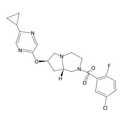 O=S(=O)(c1cc(Cl)ccc1F)N1CCN2C[C@H](Oc3cnc(C4CC4)cn3)C[C@H]2C1